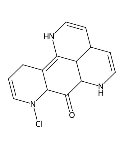 O=C1C2NC=CC3C=CNC(=C4CC=CN(Cl)C14)C32